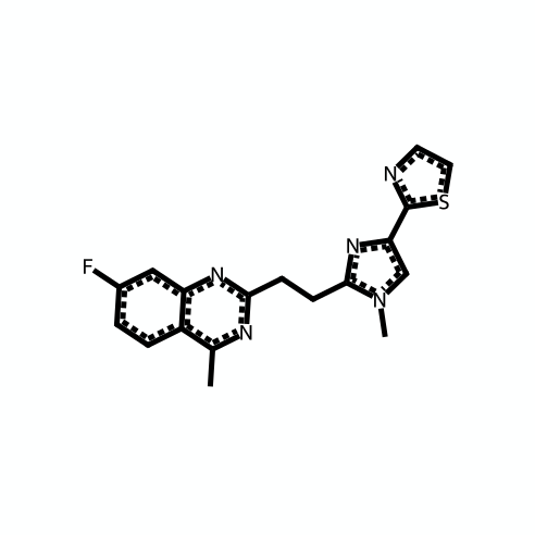 Cc1nc(CCc2nc(-c3nccs3)cn2C)nc2cc(F)ccc12